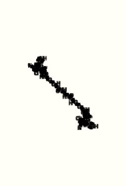 Cc1cc(S(=O)(=O)NCCOCCOCCNC(=O)NCCCCNC(=O)NCCOCCOCCNS(=O)(=O)c2ccc(O[C@H]3c4cc(Cl)cc(C#N)c4C[C@@H]3N3CCNCC3)c(C)c2)ccc1O[C@H]1c2cc(Cl)cc(C#N)c2C[C@@H]1N1CCNCC1